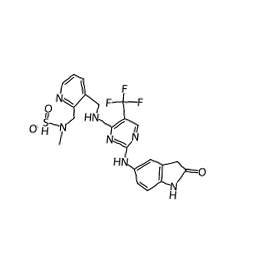 CN(Cc1ncccc1CNc1nc(Nc2ccc3c(c2)CC(=O)N3)ncc1C(F)(F)F)[SH](=O)=O